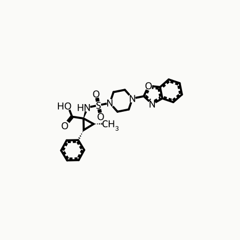 C[C@@H]1[C@H](c2ccccc2)[C@]1(NS(=O)(=O)N1CCN(c2nc3ccccc3o2)CC1)C(=O)O